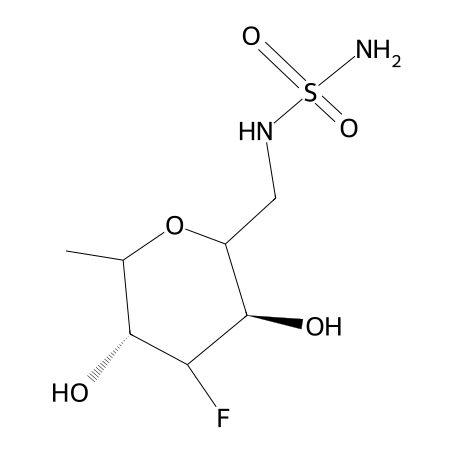 CC1OC(CNS(N)(=O)=O)[C@@H](O)C(F)[C@@H]1O